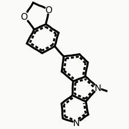 Cn1c2ccc(-c3ccc4c(c3)OCO4)cc2c2ccncc21